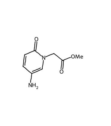 COC(=O)Cn1cc(N)ccc1=O